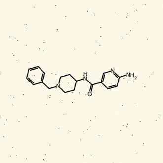 Nc1ccc(C(=O)NC2CCN(Cc3ccccc3)CC2)cn1